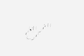 CCC=CCC=CCC=CC/C=C\C/C=C\C/C=C\CCC(=O)O